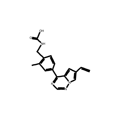 C=Cc1cc2c(-c3ccc(CNC(=O)O)c(C)c3)ncnn2c1